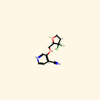 N#Cc1ccncc1OCC1OCCC1(F)F